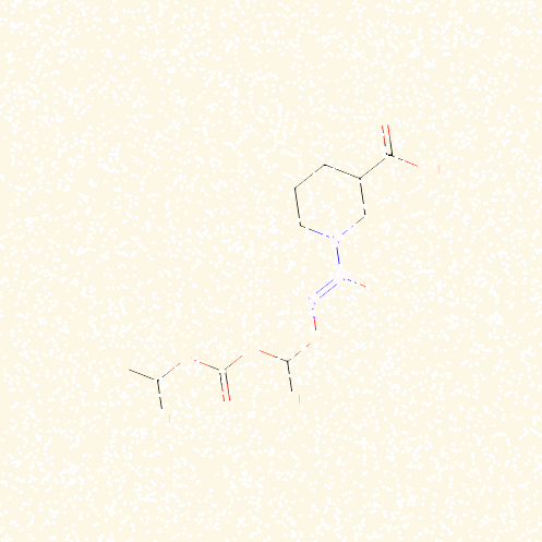 CC(C)OC(=O)OC(C)O/N=[N+](\[O-])N1CCCC(C(=O)O)C1